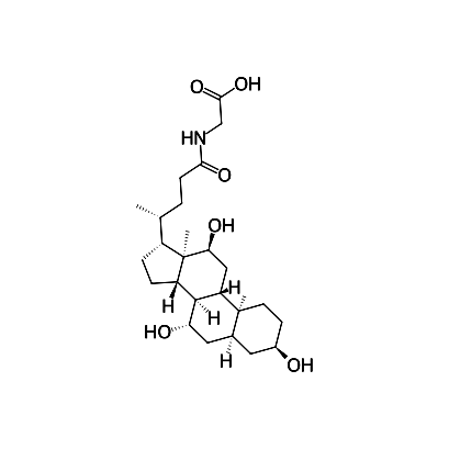 C[C@H](CCC(=O)NCC(=O)O)[C@H]1CC[C@H]2[C@@H]3[C@@H](O)C[C@@H]4C[C@H](O)CC[C@]4(C)[C@H]3C[C@H](O)[C@]12C